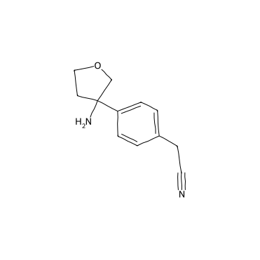 N#CCc1ccc(C2(N)CCOC2)cc1